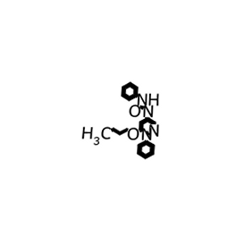 CCCCOc1c/c(=N\C(=O)Nc2ccccc2)cnn1-c1ccccc1